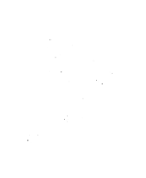 CCCCC1CCN(CCCN2C(=O)COc3c2cc(Cl)c(C)c3Cl)CC1